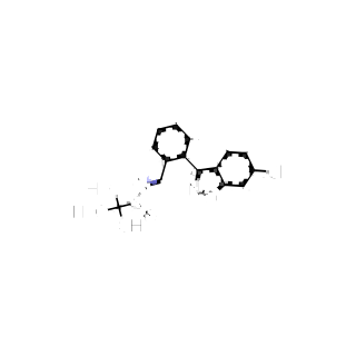 CC(C)(C)[S@+]([O-])/N=C/c1ccccc1-c1noc2cc(Cl)ccc12